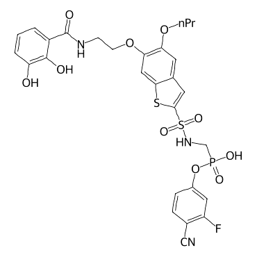 CCCOc1cc2cc(S(=O)(=O)NCP(=O)(O)Oc3ccc(C#N)c(F)c3)sc2cc1OCCNC(=O)c1cccc(O)c1O